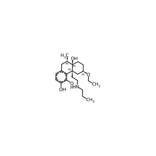 CCCNCC[C@]12C[C@H](OCC)CC[C@@]1(O)[C@H](C)Cc1ccc(O)c(O)c12